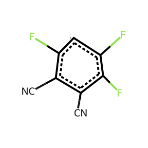 N#Cc1c(F)[c]c(F)c(F)c1C#N